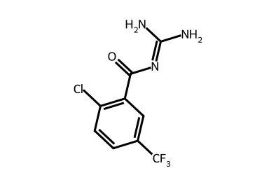 NC(N)=NC(=O)c1cc(C(F)(F)F)ccc1Cl